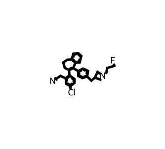 N#CCc1cc(Cl)ccc1C1=C(c2ccc(CC3CN(CCCF)C3)cc2)c2ccccc2CCC1